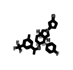 Cc1cc(C(C)O[C@H]2CC[C@@H]3CN(C4=CC(=O)CC4)C[C@H]3[C@@H]2c2ccc(F)cc2)cc(C(F)(F)F)c1